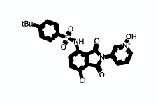 CC(C)(C)c1ccc(S(=O)(=O)Nc2ccc(Cl)c3c2C(=O)N(c2ccc[n+](O)c2)C3=O)cc1